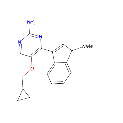 CNC1C=C(c2nc(N)ncc2OCC2CC2)c2ccccc21